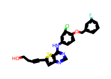 OCCC#Cc1cc2ncnc(Nc3ccc(OCc4cccc(F)c4)c(Cl)c3)c2s1